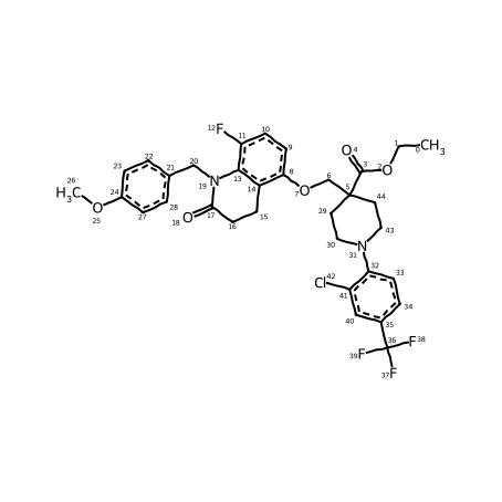 CCOC(=O)C1(COc2ccc(F)c3c2CCC(=O)N3Cc2ccc(OC)cc2)CCN(c2ccc(C(F)(F)F)cc2Cl)CC1